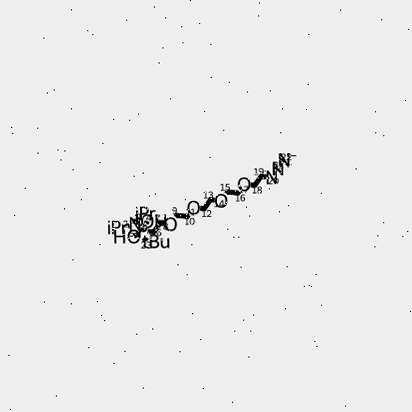 CC(C)N(C(C)C)P(O)(O)(CCOCCOCCOCCOCCN=[N+]=[N-])C(C)(C)C